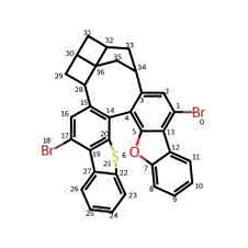 Brc1cc2c(c3oc4ccccc4c13)-c1c(cc(Br)c3c1sc1ccccc13)C1CC3CC4CC2CC431